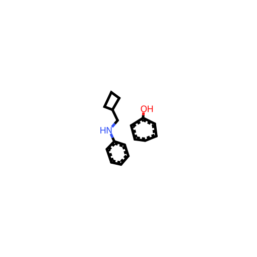 Oc1ccccc1.c1ccc(NCC2CCC2)cc1